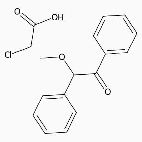 COC(C(=O)c1ccccc1)c1ccccc1.O=C(O)CCl